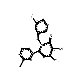 Cc1cccc(-c2cc(C(F)(F)F)c(C#N)c(=O)n2Cc2cccc(C(F)(F)F)c2)c1